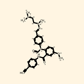 C#Cc1ccc(NC(=O)c2cc(OC)ccc2N(C=O)c2ccc(C=NN(C)CCN(C)C)cc2)cc1